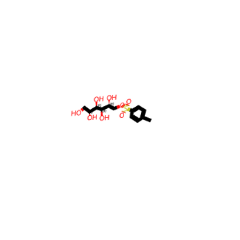 Cc1ccc(S(=O)(=O)OC[C@@H](O)[C@@H](O)[C@H](O)[C@H](O)CO)cc1